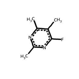 Cc1nc(C)c(C)c(F)n1